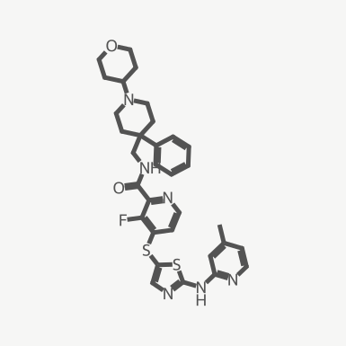 Cc1ccnc(Nc2ncc(Sc3ccnc(C(=O)NCC4(c5ccccc5)CCN(C5CCOCC5)CC4)c3F)s2)c1